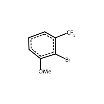 COc1cccc(C(F)(F)F)c1Br